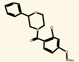 CCCCCCOc1ccc(C(=O)N2CCOC(c3ccccc3)C2)c(Cl)c1